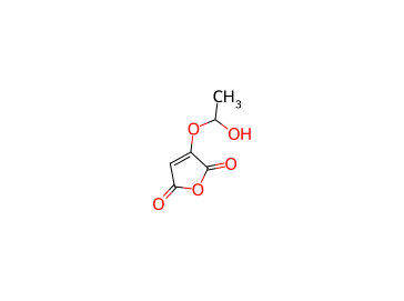 CC(O)OC1=CC(=O)OC1=O